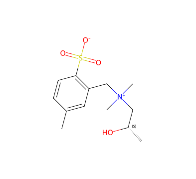 Cc1ccc(S(=O)(=O)[O-])c(C[N+](C)(C)C[C@H](C)O)c1